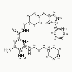 Nc1cc(C(=O)NCC2CCN(Cc3cnc(-c4ccccn4)s3)CC2)nc(NCCCN2CCOCC2)c1N